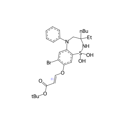 CCCCC1(CC)CN(c2ccccc2)c2cc(Br)c(O/C=C/C(=O)OC(C)(C)C)cc2S(O)(O)N1